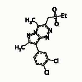 CCS(=O)(=O)Cc1nnc2c(-c3ccc(Cl)c(Cl)c3)c(C)nn2c1C